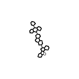 c1ccc(-c2c3ccccc3c(-c3ccc4c(ccc5cc(-c6cc7c8ccccc8oc7c7ccccc67)ccc54)c3)c3ccccc23)cc1